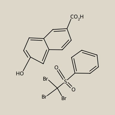 O=C(O)c1ccc2cc(O)ccc2c1.O=S(=O)(c1ccccc1)C(Br)(Br)Br